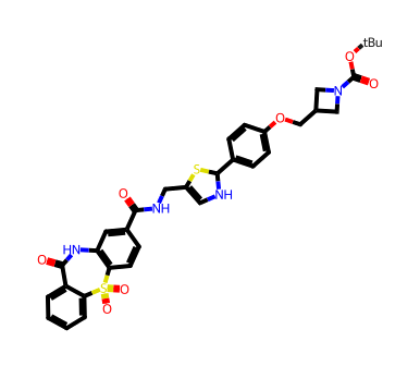 CC(C)(C)OC(=O)N1CC(COc2ccc(C3NC=C(CNC(=O)c4ccc5c(c4)NC(=O)c4ccccc4S5(=O)=O)S3)cc2)C1